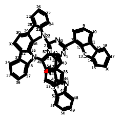 c1ccc(-c2nc(-c3cccc4c3sc3ccccc34)nc(-n3c4ccccc4c4ccc5c6ccccc6n(-c6cccc(-c7nc8ccccc8s7)c6)c5c43)n2)cc1